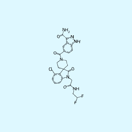 NC(=O)c1n[nH]c2ccc(C(=O)N3CCC4(CC3)C(=O)N(CC(=O)NCC(F)F)c3cccc(Cl)c34)cc12